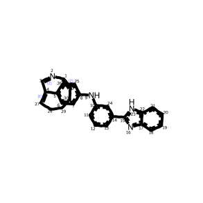 C1=C/N=C\C(c2ccc(Nc3cccc(-c4nc5ccccc5[nH]4)c3)cc2)=C\CCC\1